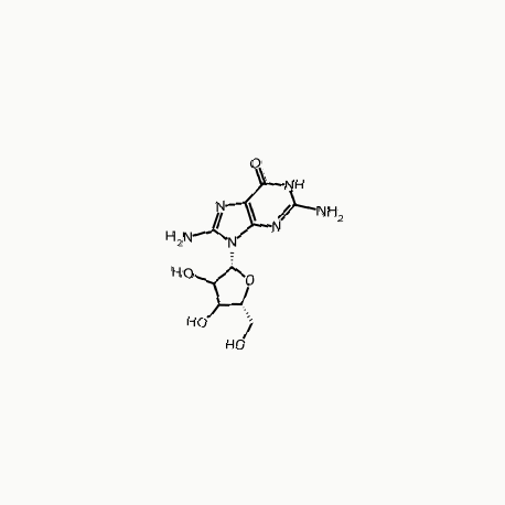 Nc1nc2c(nc(N)n2[C@@H]2O[C@H](CO)C(O)C2O)c(=O)[nH]1